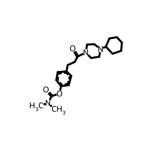 CN(C)C(=O)Oc1ccc(CCC(=O)N2CCN(C3CCCCC3)CC2)cc1